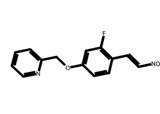 O=[N+]([O-])C=Cc1ccc(OCc2ccccn2)cc1F